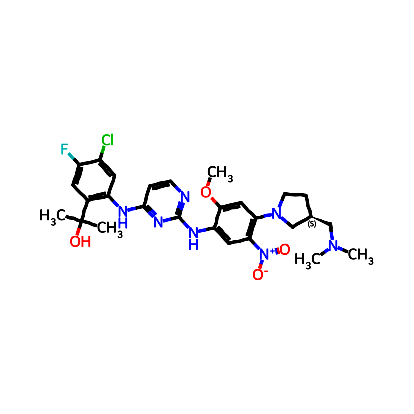 COc1cc(N2CC[C@@H](CN(C)C)C2)c([N+](=O)[O-])cc1Nc1nccc(Nc2cc(Cl)c(F)cc2C(C)(C)O)n1